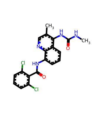 CNC(=O)Nc1c(C)cnc2c(NC(=O)c3c(Cl)cccc3Cl)cccc12